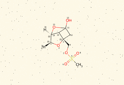 [3H][C@@H]1O[C@@]2(COS(C)(=O)=O)CC3(O)O[C@H]1C32